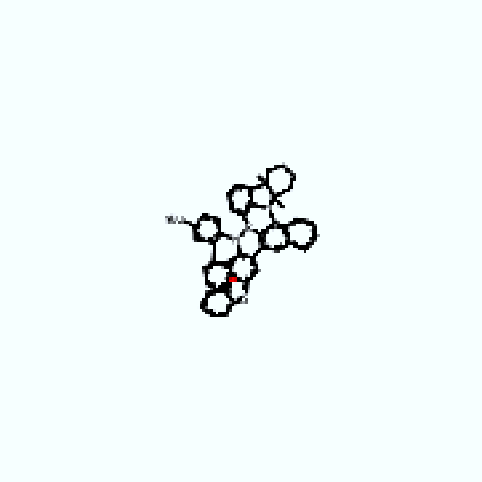 CCCCc1ccc(N2B3c4cccc5c4N(c4c3c(cc3ccccc43)-c3cc4sc6ccccc6c4cc32)C2(C)CCCCC52C)c(-c2ccccc2)c1